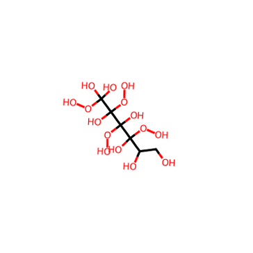 OCC(O)C(O)(OO)C(O)(OO)C(O)(OO)C(O)(O)OO